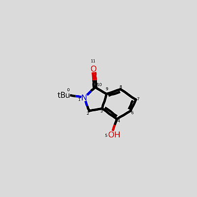 CC(C)(C)N1Cc2c(O)cccc2C1=O